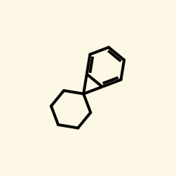 c1ccc2c(c1)C21CCCCC1